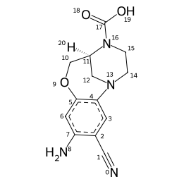 N#Cc1cc2c(cc1N)OC[C@@H]1CN2CCN1C(=O)O